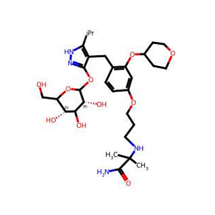 CC(C)c1[nH]nc(OC2OC(CO)[C@@H](O)C(O)[C@H]2O)c1Cc1ccc(OCCCNC(C)(C)C(N)=O)cc1OC1CCOCC1